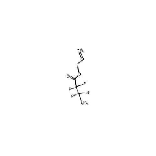 C=CCOC(=O)C(F)(F)C(C)(F)F